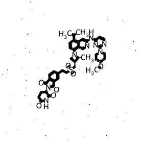 COC1CCN(c2nccc(Nc3cc4c(C(C)C)ccc(N5C[C@H](CS(=O)(=O)CCc6ccc7c(c6)C(=O)N(C6CCC(=O)NC6=O)C7=O)[C@H]5C)c4cn3)n2)CC1